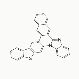 c1ccc2cc3c(cc2c1)c1cc2c(cc1n1c4ccccc4nc31)sc1ccccc12